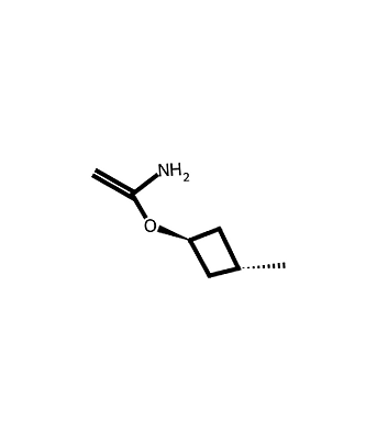 C=C(N)O[C@H]1C[C@H](C)C1